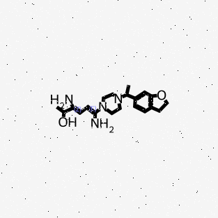 CC(O)/C(N)=C/C=C(\N)N1CCN(C(C)c2ccc3c(c2)OCC3)CC1